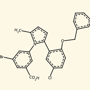 Cc1ccc(-c2cc(Cl)ccc2OCc2ccccc2)n1-c1cc(Br)cc(C(=O)O)c1